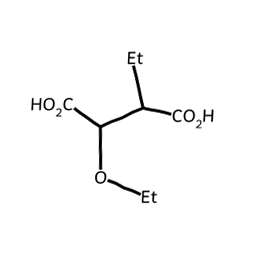 CCOC(C(=O)O)C(CC)C(=O)O